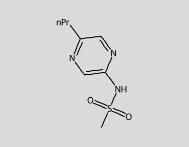 CCCc1cnc(NS(C)(=O)=O)cn1